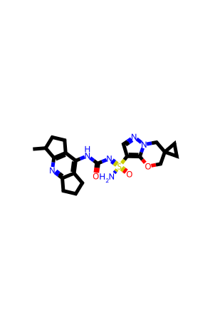 CC1CCc2c1nc1c(c2NC(=O)N=S(N)(=O)c2cnn3c2OCC2(CC2)C3)CCC1